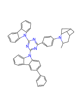 CC1CC2CC3CC(C23)N1c1ccc(-c2nc(-n3c4ccccc4c4ccccc43)nc(-n3c4ccccc4c4cc(-c5ccccc5)ccc43)n2)cc1